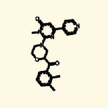 Cc1cccc(C(=O)C2CN(c3nc(-c4ccncc4)cc(=O)n3C)CCO2)c1C